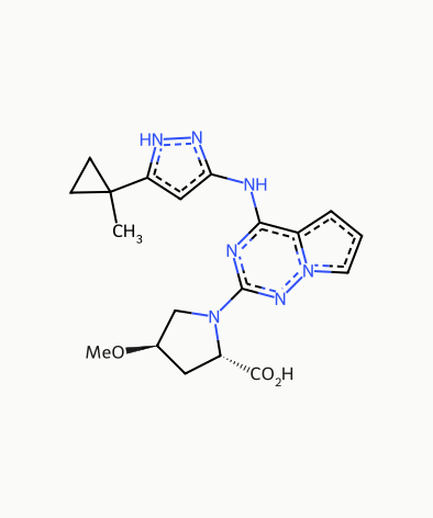 CO[C@@H]1C[C@@H](C(=O)O)N(c2nc(Nc3cc(C4(C)CC4)[nH]n3)c3cccn3n2)C1